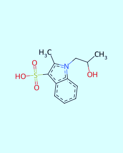 Cc1c(S(=O)(=O)O)c2ccccc2n1CC(C)O